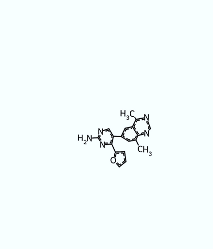 Cc1ncnc2c(C)cc(-c3cnc(N)nc3-c3ccco3)cc12